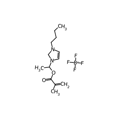 C=C(C)C(=O)OC(C)N1C=CN(CCCC)C1.F[B-](F)(F)F